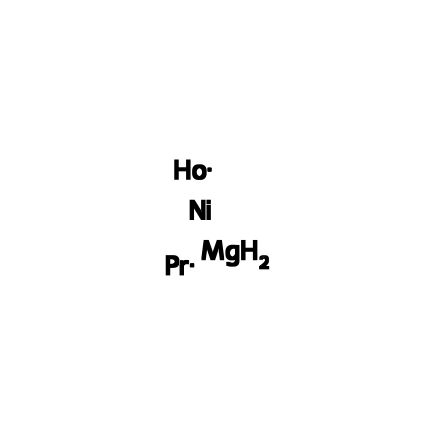 [Ho].[MgH2].[Ni].[Pr]